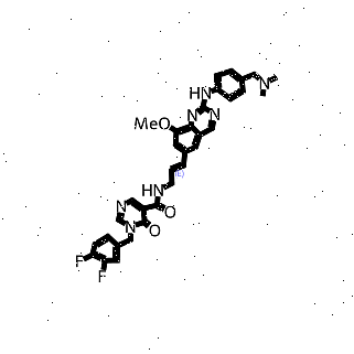 COc1cc(/C=C/CNC(=O)c2cncn(Cc3ccc(F)c(F)c3)c2=O)cc2cnc(Nc3ccc(CN(C)C)cc3)nc12